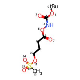 CC(C)(C)OC(=O)NOC(=O)CCCOS(C)(=O)=O